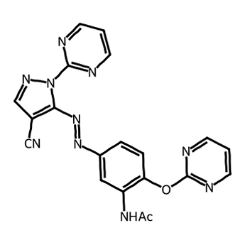 CC(=O)Nc1cc(/N=N/c2c(C#N)cnn2-c2ncccn2)ccc1Oc1ncccn1